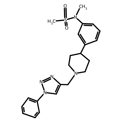 CN(c1cccc(C2CCN(Cc3cn(-c4ccccc4)nn3)CC2)c1)S(C)(=O)=O